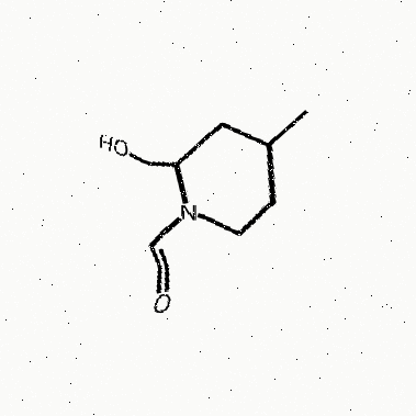 CC1CCN(C=O)C(O)C1